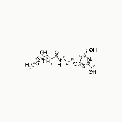 CSSC(C)(C)CCC(=O)NCCCOc1cc(CO)nc(CO)c1